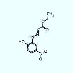 CCOC(=O)C=NNc1cc([N+](=O)[O-])ccc1O